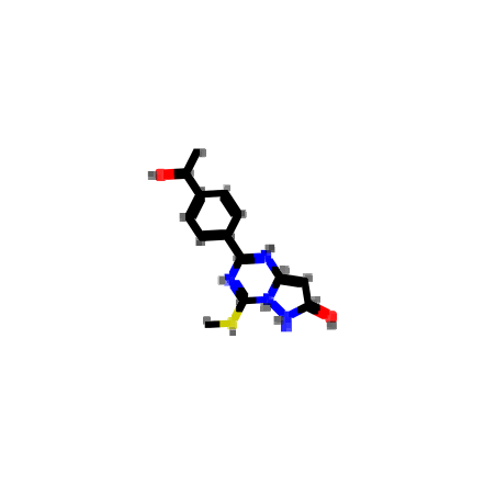 CSc1nc(-c2ccc(C(C)=O)cc2)nc2cc(=O)[nH]n12